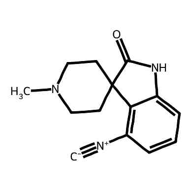 [C-]#[N+]c1cccc2c1C1(CCN(C)CC1)C(=O)N2